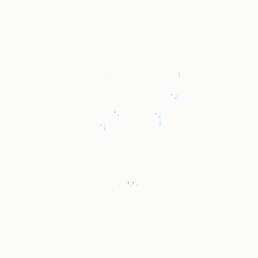 COc1ccc(-c2[nH]c(-c3ccccc3)nc2CCNS(=O)(=O)N[C@@H](C)c2ccc(C)cc2)cc1